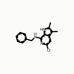 Cc1[nH]c2c(NCc3ccccc3)nc(Cl)cc2c1C